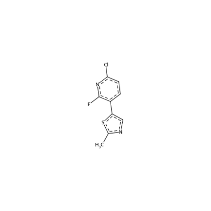 Cc1ncc(-c2ccc(Cl)nc2F)s1